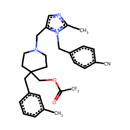 Cc1cccc(CC2(COC(=O)C(F)(F)F)CCN(Cc3cnc(C)n3Cc3ccc(C#N)cc3)CC2)c1